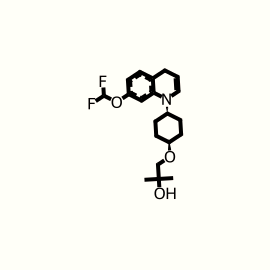 CC(C)(O)CO[C@H]1CC[C@H](N2C=CCc3ccc(OC(F)F)cc32)CC1